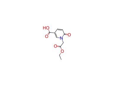 CCOC(=O)Cn1cc(C(=O)O)ccc1=O